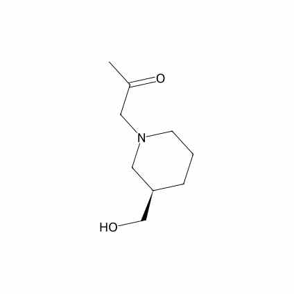 CC(=O)CN1CCC[C@@H](CO)C1